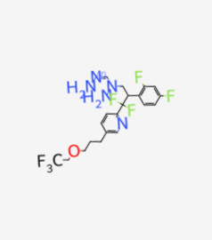 N/N=C\N(N)CC(c1ccc(F)cc1F)C(F)(F)c1ccc(CCCOCC(F)(F)F)cn1